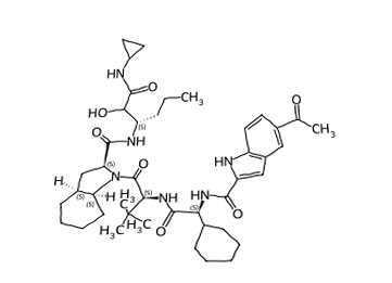 CCC[C@H](NC(=O)[C@@H]1C[C@@H]2CCCC[C@@H]2N1C(=O)[C@@H](NC(=O)[C@@H](NC(=O)c1cc2cc(C(C)=O)ccc2[nH]1)C1CCCCC1)C(C)(C)C)C(O)C(=O)NC1CC1